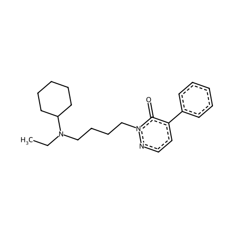 CCN(CCCCn1nccc(-c2ccccc2)c1=O)C1CCCCC1